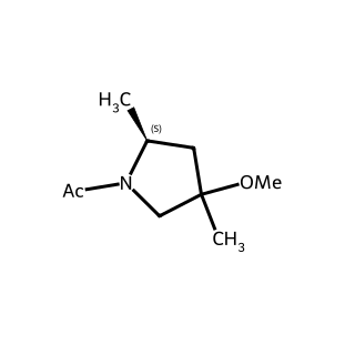 COC1(C)C[C@H](C)N(C(C)=O)C1